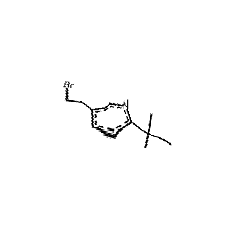 CC(C)(C)c1ccc(CBr)cn1